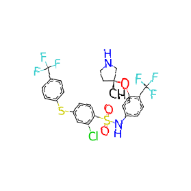 C[C@@]1(Oc2cc(NS(=O)(=O)c3ccc(Sc4ccc(C(F)(F)F)cc4)cc3Cl)ccc2C(F)(F)F)CCNC1